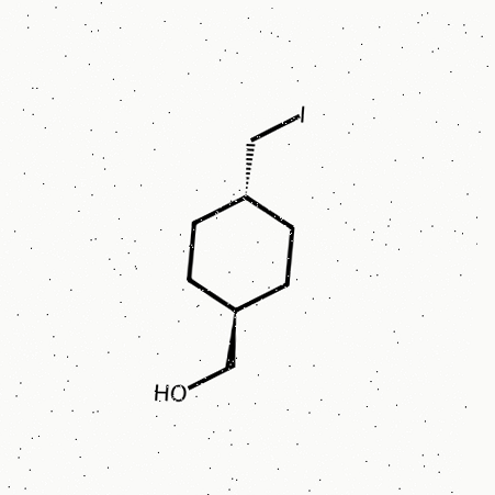 OC[C@H]1CC[C@H](CI)CC1